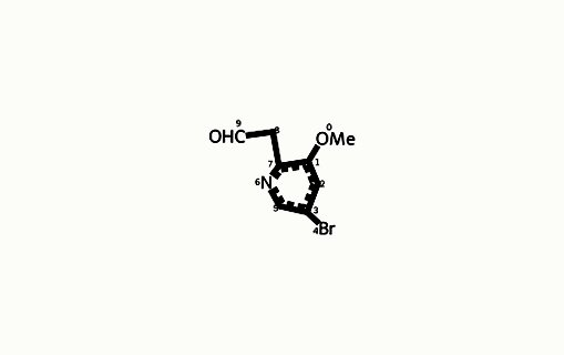 COc1cc(Br)cnc1CC=O